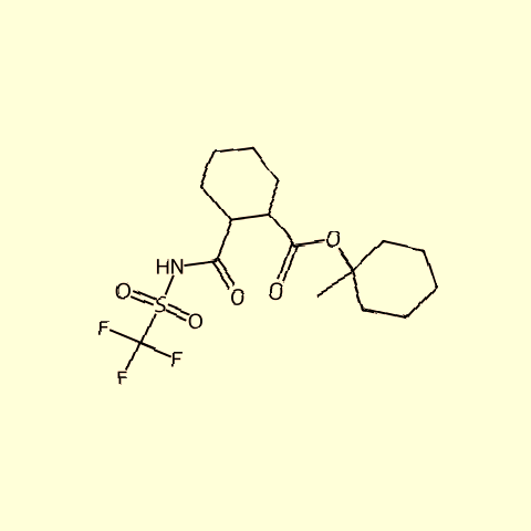 CC1(OC(=O)C2CCCCC2C(=O)NS(=O)(=O)C(F)(F)F)CCCCC1